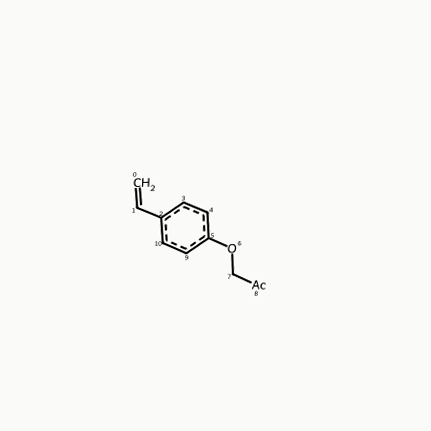 C=Cc1ccc(OCC(C)=O)cc1